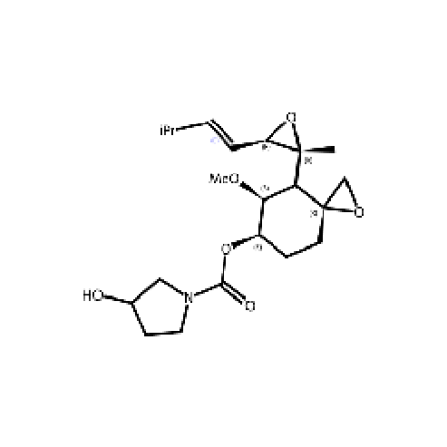 CO[C@H]1C([C@@]2(C)O[C@@H]2/C=C/C(C)C)[C@]2(CC[C@H]1OC(=O)N1CCC(O)C1)CO2